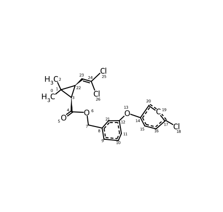 CC1(C)[C@H](C(=O)OCc2cccc(Oc3ccc(Cl)cc3)c2)[C@@H]1C=C(Cl)Cl